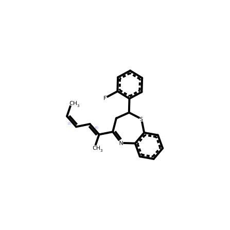 C/C=C\C=C(/C)C1=Nc2ccccc2SC(c2ccccc2F)C1